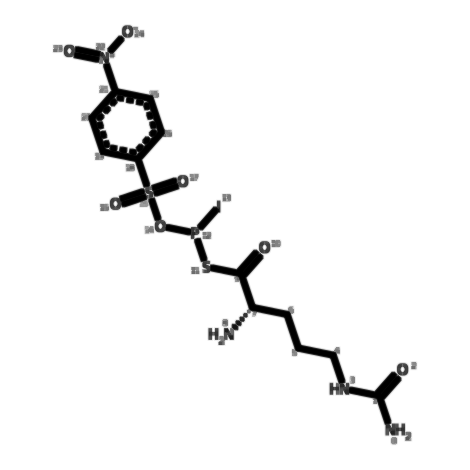 NC(=O)NCCC[C@H](N)C(=O)SP(I)OS(=O)(=O)c1ccc([N+](=O)[O-])cc1